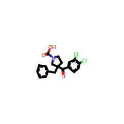 O=C(O)N1CCC(Cc2ccccc2)(C(=O)c2ccc(Cl)c(Cl)c2)C1